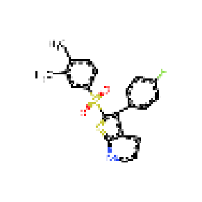 Cc1ccc(S(=O)(=O)c2sc3ncccc3c2-c2ccc(F)cc2)cc1C